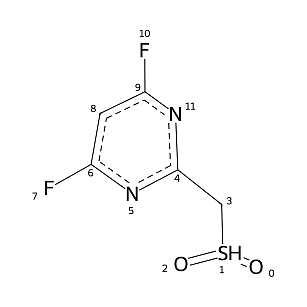 O=[SH](=O)Cc1nc(F)cc(F)n1